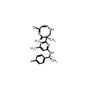 C=C1/N=C(Cl)\C=N/NC[C@]1(C)c1nc(C)cc(N[C@@H](C)c2ccc(F)cc2)n1